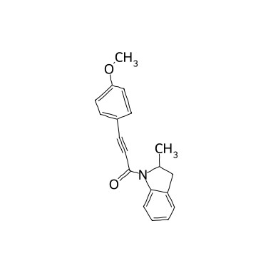 COc1ccc(C#CC(=O)N2c3ccccc3CC2C)cc1